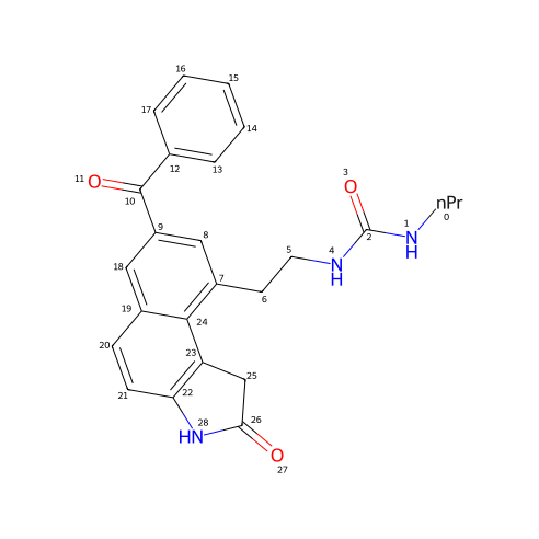 CCCNC(=O)NCCc1cc(C(=O)c2ccccc2)cc2ccc3c(c12)CC(=O)N3